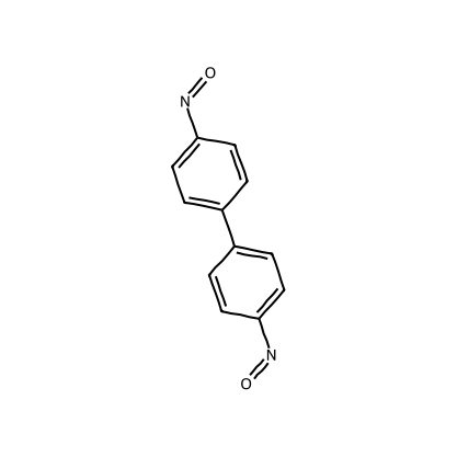 O=Nc1ccc(-c2ccc(N=O)cc2)cc1